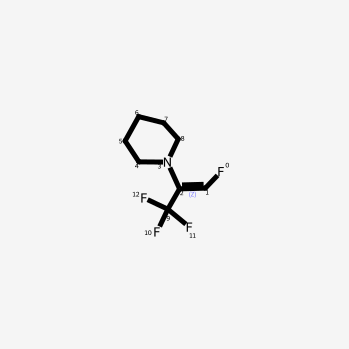 F/C=C(\N1CCCCC1)C(F)(F)F